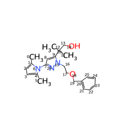 Cc1ccc(C)n1-c1cc(C(C)(C)CO)n(CCOCc2ccccc2)n1